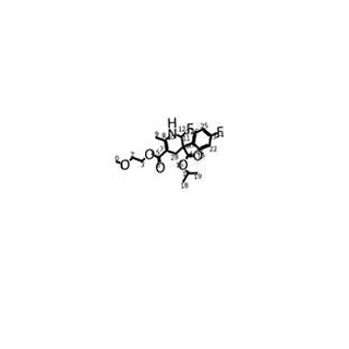 COCCOC(=O)C1=C(C)NC(C)C(C(=O)OC(C)C)(c2ccc(F)cc2F)C1